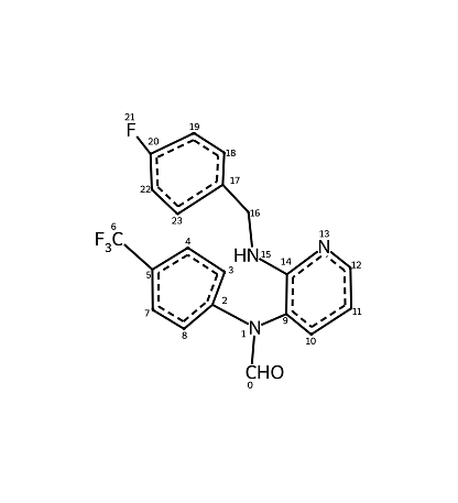 O=CN(c1ccc(C(F)(F)F)cc1)c1cccnc1NCc1ccc(F)cc1